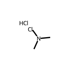 CN(C)Cl.Cl